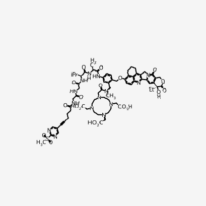 CC[C@@]1(O)C(=O)OCc2c1cc1n(c2=O)Cc2c-1nc1ccc(OCc3ccc(NC(=O)[C@H](C)NC(=O)[C@@H](NC(=O)CNC(=O)CNC(=O)CCCC#Cc4cnc(S(C)(=O)=O)nc4)C(C)C)cc3CN(C)C(=O)CN3CCN(CC(=O)O)CCN(CC(=O)O)CCN(CC(=O)O)CC3)c3c1c2CCC3